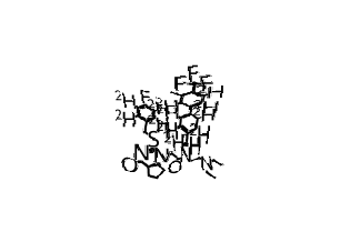 [2H]C1=C(C2=C([2H])C([2H])=C(C(F)(F)F)C(C)C2[2H])C([2H])C([2H])C(C([2H])([2H])N(CCN(CC)CC)C(=O)Cn2c(SCc3c([2H])c([2H])c(F)c([2H])c3[2H])nc(=O)c3c2CCC3)=C1[2H]